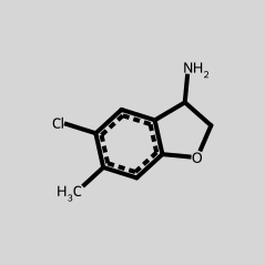 Cc1cc2c(cc1Cl)C(N)CO2